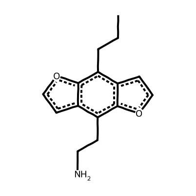 CCCc1c2ccoc2c(CCN)c2ccoc12